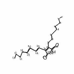 CCCCCCCCC1=C(CCCCCCCC)C(=O)NC1=O